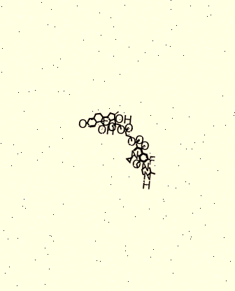 COc1c(N2CCNC(C)C2)c(F)cc2c(=O)c(C(=O)OCCC(=O)OCC(=O)[C@@]3(O)[C@H](C)CC4C5CCC6=CC(=O)C=C[C@]6(C)[C@@]5(F)[C@@H](O)C[C@@]43C)cn(C3CC3)c12